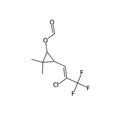 CC1(C)C(C=C(Cl)C(F)(F)F)C1OC=O